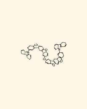 C1=CC2C3=C(C=CCC3)N(C3=CC4=C(CC3)OC3=CC5=C(CC34)C3C=C(OC4=CC6C7=C(C=C8OC9CCC(N%10C%11=C(CCC=C%11)C%11CCC=CC%11%10)=CC9C8C7)OC6C=C4)C=CC3O5)C2C=C1